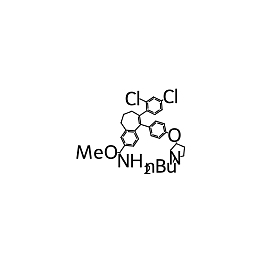 CCCCN1CCC(Oc2ccc(C3=C(c4ccc(Cl)cc4Cl)CCCc4cc(C(N)OC)ccc43)cc2)C1